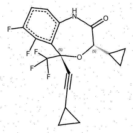 O=C1Nc2ccc(F)c(F)c2[C@@](C#CC2CC2)(C(F)(F)F)O[C@H]1C1CC1